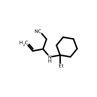 C=CC(CC#N)NC1(CC)CCCCC1